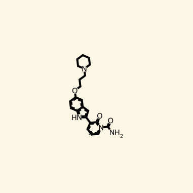 NC(=O)n1c[c]cc(-c2cc3cc(OCCCN4CCCCC4)ccc3[nH]2)c1=O